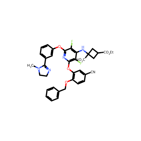 CCOC(=O)C1CC(Nc2c(F)c(Oc3cccc(C4=NCCN4C)c3)nc(Oc3cc(C#N)ccc3OCc3ccccc3)c2F)(C(=O)OCC)C1